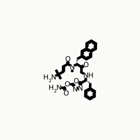 CN(C(=O)/C=C/C(C)(C)N)[C@H](Cc1ccc2ccccc2c1)C(=O)CN[C@H](Cc1ccccc1)c1nnc(OC(N)=O)o1